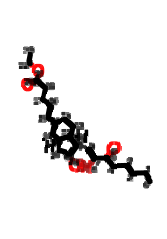 CCCCCC(=O)C(Br)=C[C@H]1[C@@H]2CCC(C=CCCC(=O)OCC)=C[C@@H]2C[C@H]1O